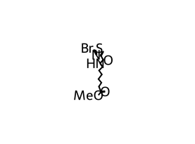 COC(=O)CCCCCCNC(=O)c1csc(Br)n1